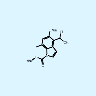 COc1cc(C)c2c(ccn2C(=O)OC(C)(C)C)c1C(Cl)C(F)(F)F